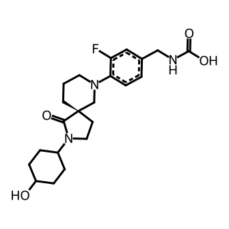 O=C(O)NCc1ccc(N2CCC[C@]3(CCN(C4CCC(O)CC4)C3=O)C2)c(F)c1